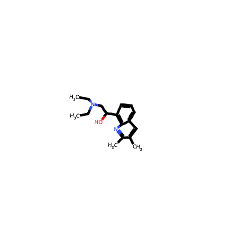 CCN(CC)CC(O)c1cccc2cc(C)c(C)nc12